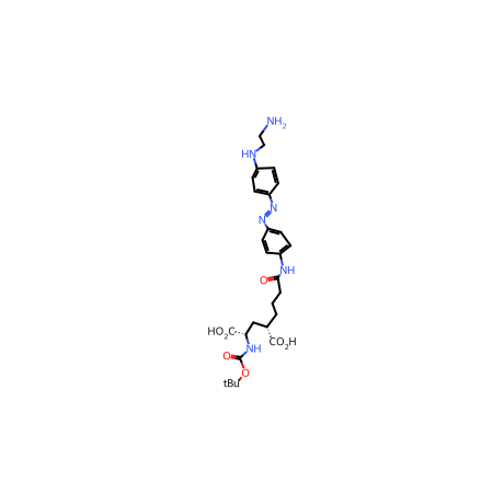 CC(C)(C)OC(=O)N[C@@H](C[C@H](CCCC(=O)Nc1ccc(N=Nc2ccc(NCCN)cc2)cc1)C(=O)O)C(=O)O